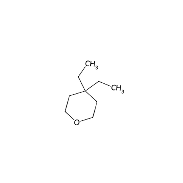 CCC1(CC)CCOCC1